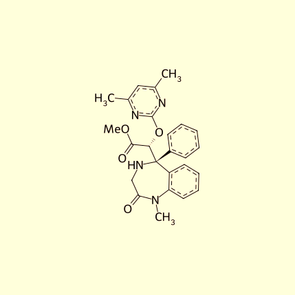 COC(=O)[C@H](Oc1nc(C)cc(C)n1)[C@@]1(c2ccccc2)NCC(=O)N(C)c2ccccc21